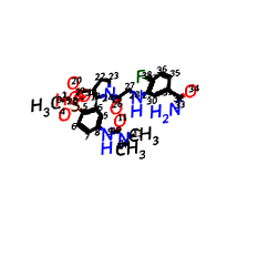 CCS(=O)(=O)c1ccc(NC(=O)N(C)C)cc1[C@H]1[C@@H](C(=O)O)CCN1C(=O)CNc1cc(C(N)=O)ccc1F